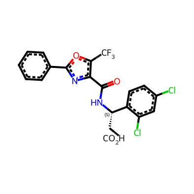 O=C(O)C[C@H](NC(=O)c1nc(-c2ccccc2)oc1C(F)(F)F)c1ccc(Cl)cc1Cl